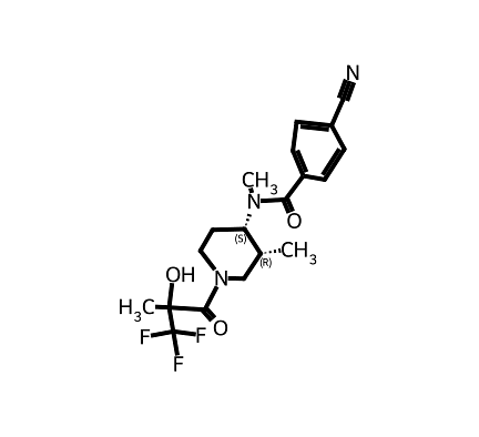 C[C@@H]1CN(C(=O)C(C)(O)C(F)(F)F)CC[C@@H]1N(C)C(=O)c1ccc(C#N)cc1